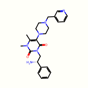 Cc1c(N2CCN(Cc3cccnc3)CC2)c(=O)n(C[C@@H](N)c2ccccc2)c(=O)n1C